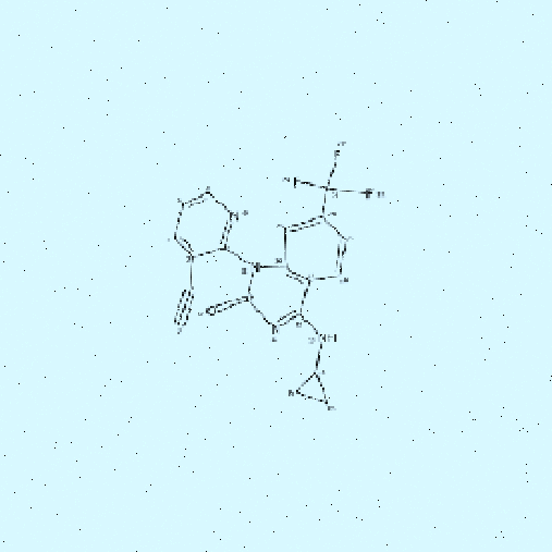 C#Cc1cccnc1-n1c(=O)nc(NC2CC2)c2ccc(C(F)(F)F)cc21